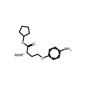 CN[C@@H](CCOc1ccc(N)cc1)C(=O)OC1CCCC1